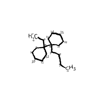 CCCCC1(C2(CC)CCCCC2)CCCCC1